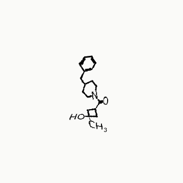 C[C@]1(O)C[C@@H](C(=O)N2CCC(Cc3ccccc3)CC2)C1